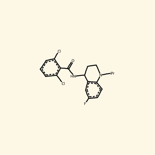 CC(C)N1CCC(NC(=O)c2c(Cl)cccc2Cl)c2cc(F)ccc21